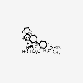 CC(C)(C)[Si](C)(C)O[C@H]1CC[C@](C)([C@H]2CC[C@@]3(C)[C@@H](CCC34OCCO4)[C@@H]2C=NO)[C@@H](C(=O)O)C1